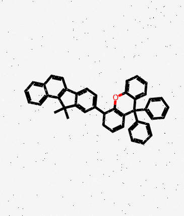 CC1(C)c2cc(C3CC=CC4=C3Oc3ccccc3C4(c3ccccc3)c3ccccc3)ccc2-c2ccc3ccccc3c21